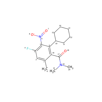 Cc1cc(F)c([N+](=O)[O-])c(C2CCCCC2)c1C(=O)N(C)C